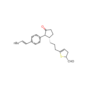 CCCCC=Cc1ccc(C2C(=O)CC[C@@H]2CCCC2=CCC(C=O)S2)cc1